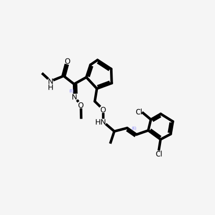 CNC(=O)/C(=N/OC)c1ccccc1CONC(C)/C=C/c1c(Cl)cccc1Cl